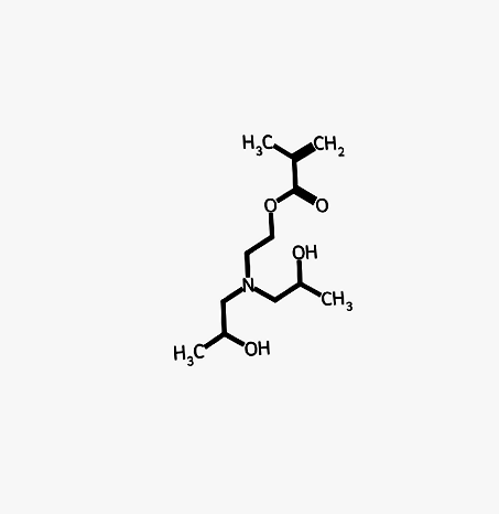 C=C(C)C(=O)OCCN(CC(C)O)CC(C)O